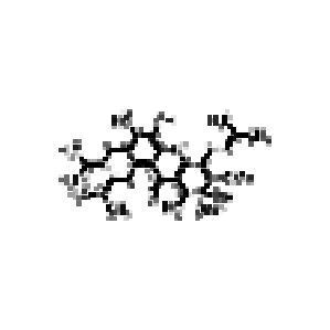 COC1=C(CC=C(C)C)c2oc3c(O)c(O)c(CC=C(C)C)c(CC=C(C)C)c3c(=O)c2C(O)C1(O)OC